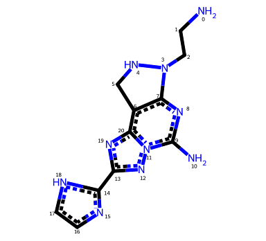 NCCN1NCc2c1nc(N)n1nc(-c3ncc[nH]3)nc21